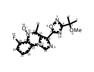 COC(C)(C)c1noc(-c2ncn3c2c(C)[n+]([O-])c2c(F)cccc23)n1